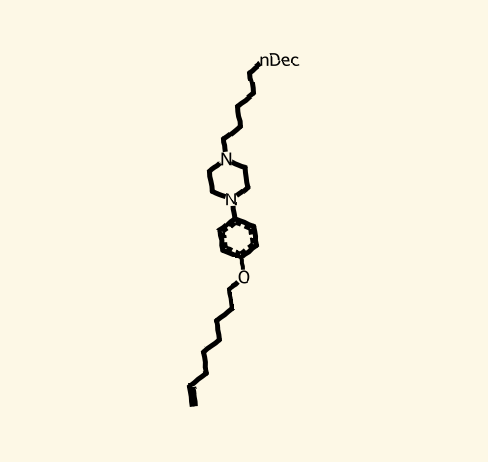 C=CCCCCCCOc1ccc(N2CCN(CCCCCCCCCCCCCCC)CC2)cc1